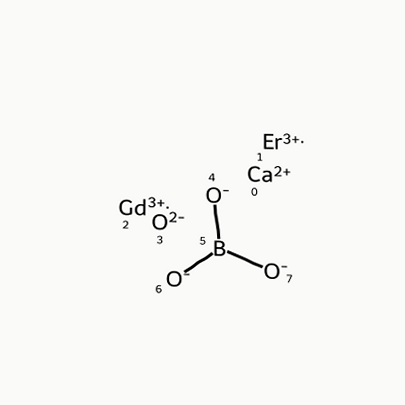 [Ca+2].[Er+3].[Gd+3].[O-2].[O-]B([O-])[O-]